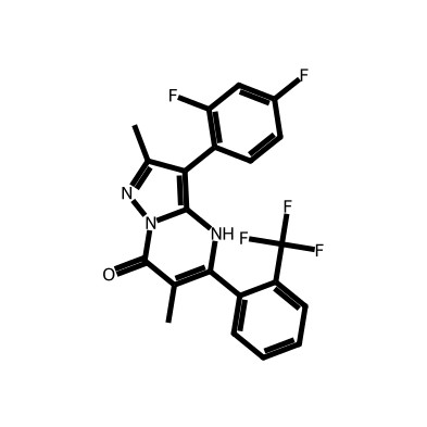 Cc1nn2c(=O)c(C)c(-c3ccccc3C(F)(F)F)[nH]c2c1-c1ccc(F)cc1F